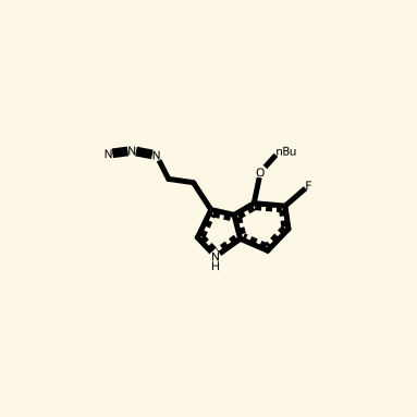 CCCCOc1c(F)ccc2[nH]cc(CCN=[N+]=[N-])c12